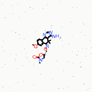 COc1ccc2c(c1)/C(=N\OC[C@@H]1CN(C)C(=O)O1)C(C)(C)c1c(N)ncnc1-2